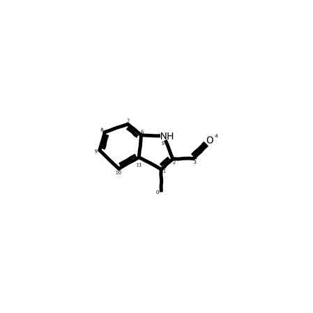 Cc1c([C]=O)[nH]c2ccccc12